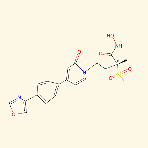 C[C@@](CCn1ccc(-c2ccc(-c3cocn3)cc2)cc1=O)(C(=O)NO)S(C)(=O)=O